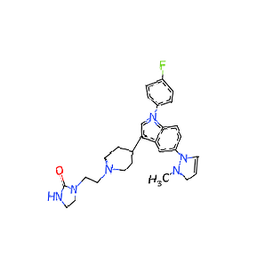 CN1CC=CN1c1ccc2c(c1)c(C1CCN(CCN3CCNC3=O)CC1)cn2-c1ccc(F)cc1